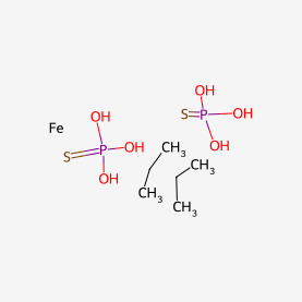 CCC.CCC.OP(O)(O)=S.OP(O)(O)=S.[Fe]